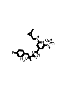 CC1CC1CN(C)c1cc(-c2nnc(C(C)(N)Cc3ccc(F)cc3)o2)cc(N(C)S(C)(=O)=O)n1